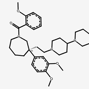 COc1ccc([C@@]2(CCN3CCC(N4CCCCC4)CC3)CCCCN(C(=O)c3ccccc3OC)C2)cc1OC